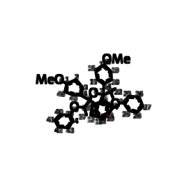 COc1ccc(C(OC(c2ccccc2)(c2ccc(OC)cc2)C(C)Oc2ccccc2)(c2ccccc2)C(C)Oc2ccccc2)cc1